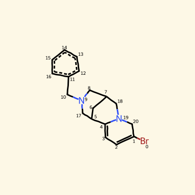 BrC1=CC=C2C3CC(CN(Cc4ccccc4)C3)CN2C1